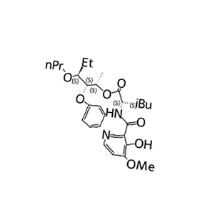 CCCO[C@@H](CC)[C@@H](Oc1ccccc1)[C@H](C)OC(=O)[C@@H](NC(=O)c1nccc(OC)c1O)[C@@H](C)CC